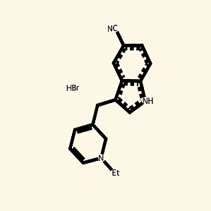 Br.CCN1C=CC=C(Cc2c[nH]c3ccc(C#N)cc23)C1